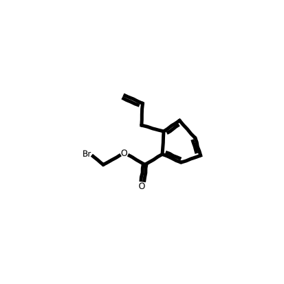 C=CCc1ccccc1C(=O)OCBr